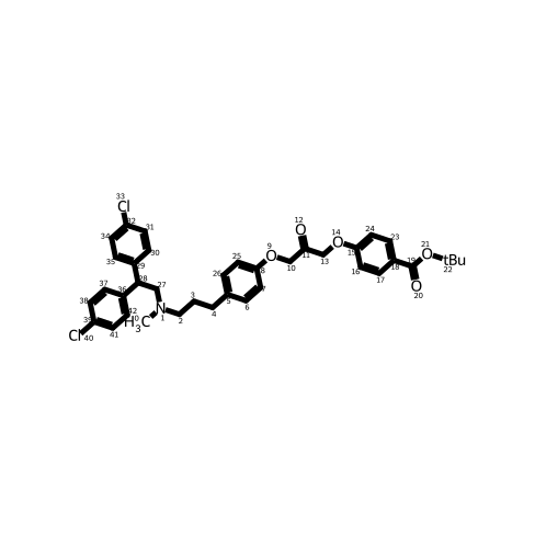 CN(CCCc1ccc(OCC(=O)COc2ccc(C(=O)OC(C)(C)C)cc2)cc1)CC(c1ccc(Cl)cc1)c1ccc(Cl)cc1